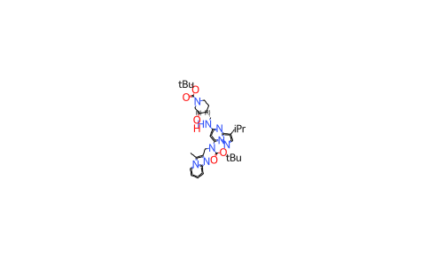 Cc1c(CN(C(=O)OC(C)(C)C)c2cc(NC[C@H]3CCN(C(=O)OC(C)(C)C)C[C@@H]3O)nc3c(C(C)C)cnn23)nc2ccccn12